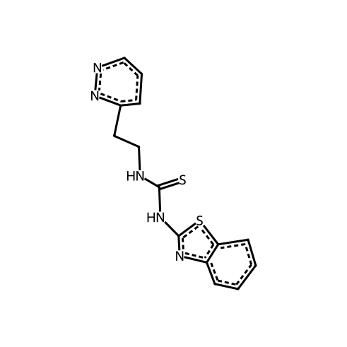 S=C(NCCc1cccnn1)Nc1nc2ccccc2s1